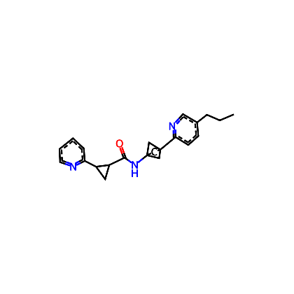 CCCc1ccc(C23CC(NC(=O)C4CC4c4ccccn4)(C2)C3)nc1